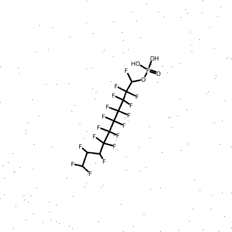 O=P(O)(O)OC(F)C(F)(F)C(F)(F)C(F)(F)C(F)(F)C(F)(F)C(F)(F)C(F)C(F)C(F)F